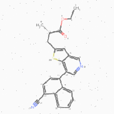 CCOC(=O)[C@@H](C)Cc1cc2cncc(-c3ccc(C#N)c4ccccc34)c2s1